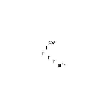 [Bi+3].[Cs+].[I-].[I-].[I-].[I-]